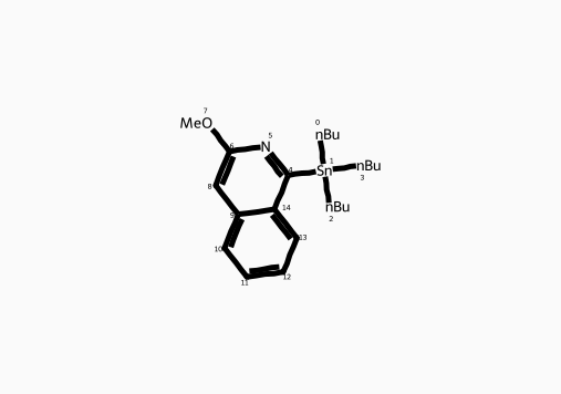 CCC[CH2][Sn]([CH2]CCC)([CH2]CCC)[c]1nc(OC)cc2ccccc12